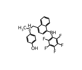 C[SH](Cc1ccc(Bc2c(F)c(F)c(F)c(F)c2F)c2ccccc12)c1ccc(O)cc1